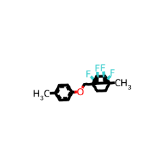 Cc1ccc(OCC23CCC(C)(CC2)C(F)(F)C3(F)F)cc1